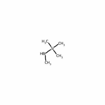 [CH3][BiH][Si](C)(C)C